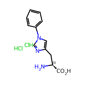 Cl.Cl.N[C@@H](Cc1cn(-c2ccccc2)cn1)C(=O)O